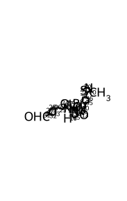 Cc1ncsc1-c1ccc(CNC(=O)[C@@H]2CCCN2C(=O)C(NC(=O)CCc2ccc(C=O)cc2)C(C)(C)C)cc1